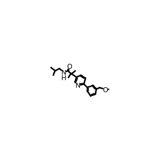 COCc1cccc(-c2ccc(C(C)(C)C(=O)NCC(C)C)cn2)c1